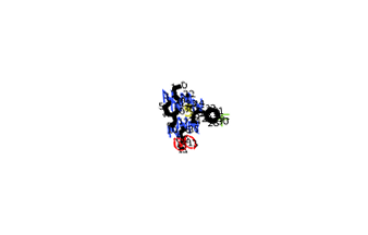 CCc1nc2ccc(-c3cnc(C(=O)OC)cn3)cn2c1N(C)c1nc(-c2ccc(F)cc2)c(C#N)s1